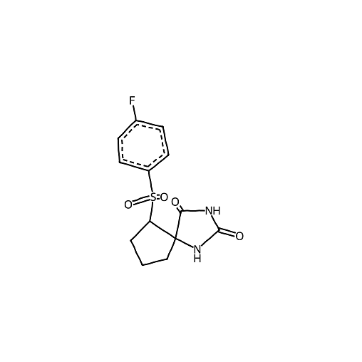 O=C1NC(=O)C2(CCCC2S(=O)(=O)c2ccc(F)cc2)N1